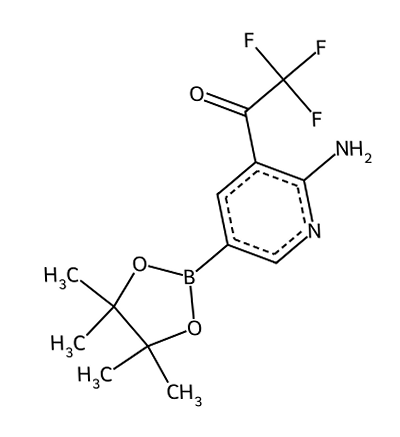 CC1(C)OB(c2cnc(N)c(C(=O)C(F)(F)F)c2)OC1(C)C